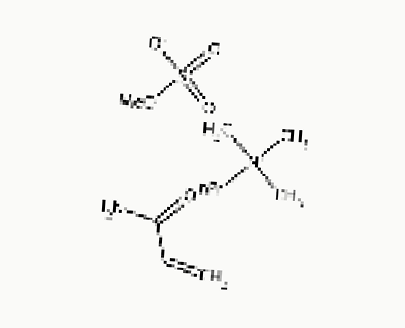 C=CC(N)=O.CCC[N+](C)(C)C.COS(=O)(=O)[O-]